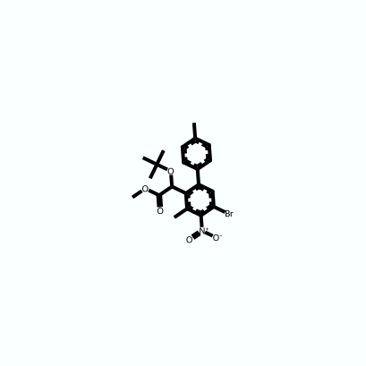 COC(=O)C(OC(C)(C)C)c1c(-c2ccc(C)cc2)cc(Br)c([N+](=O)[O-])c1C